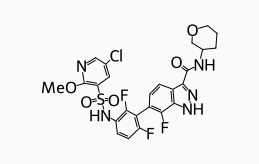 COc1ncc(Cl)cc1S(=O)(=O)Nc1ccc(F)c(-c2ccc3c(C(=O)NC4CCCOC4)n[nH]c3c2F)c1F